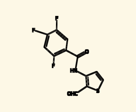 O=Cc1sccc1NC(=O)c1cc(F)c(F)cc1F